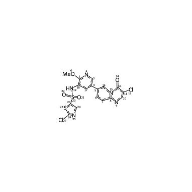 COc1ncc(-c2ccc3ncc(Cl)c(=O)n3c2)cc1NS(=O)(=O)c1cnc(Cl)s1